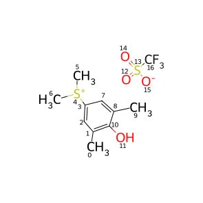 Cc1cc([S+](C)C)cc(C)c1O.O=S(=O)([O-])C(F)(F)F